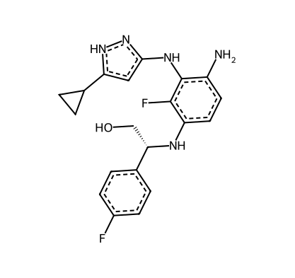 Nc1ccc(N[C@@H](CO)c2ccc(F)cc2)c(F)c1Nc1cc(C2CC2)[nH]n1